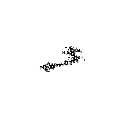 COc1cc(-c2cn(C)c(=O)c3cc(C(=O)NC4CCN(CCCCCOc5ccc6c(c5)C(=O)N(C5CCC(=O)NC5=O)C6=O)CC4)sc23)cc(OC)c1CN(C)C